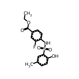 CCOC(=O)c1ccc(NS(=O)(=O)c2cc(C)ccc2O)c(F)c1